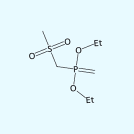 C=P(CS(C)(=O)=O)(OCC)OCC